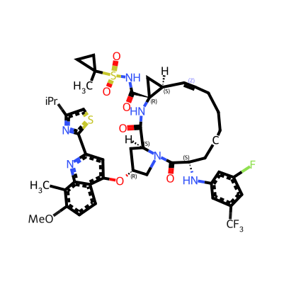 COc1ccc2c(O[C@@H]3C[C@H]4C(=O)N[C@]5(C(=O)NS(=O)(=O)C6(C)CC6)C[C@H]5/C=C\CCCCC[C@H](Nc5cc(F)cc(C(F)(F)F)c5)C(=O)N4C3)cc(-c3nc(C(C)C)cs3)nc2c1C